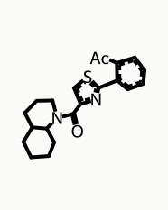 CC(=O)c1ccccc1-c1nc(C(=O)N2CCCC3CCCCC32)cs1